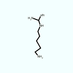 CCCC(N)NCCCCCN